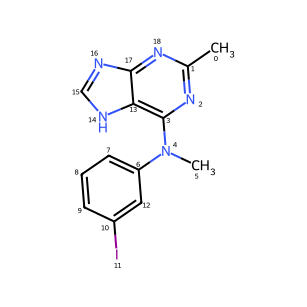 Cc1nc(N(C)c2cccc(I)c2)c2[nH]cnc2n1